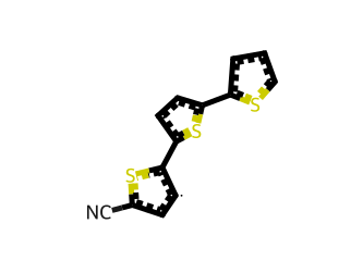 N#Cc1c[c]c(-c2ccc(-c3cccs3)s2)s1